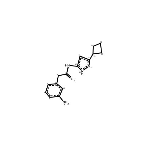 Nc1cccc(CC(=O)Nc2cc(C3CCC3)n[nH]2)c1